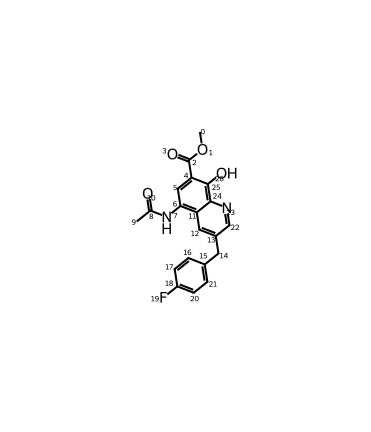 COC(=O)c1cc(NC(C)=O)c2cc(Cc3ccc(F)cc3)cnc2c1O